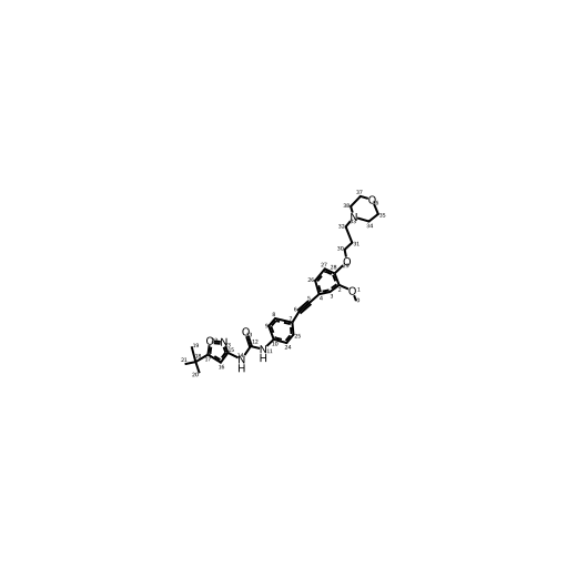 COc1cc(C#Cc2ccc(NC(=O)Nc3cc(C(C)(C)C)on3)cc2)ccc1OCCCN1CCOCC1